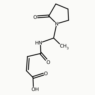 CC(NC(=O)/C=C\C(=O)O)N1CCCC1=O